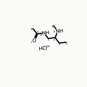 CCC(CNC(C)=O)NC.Cl